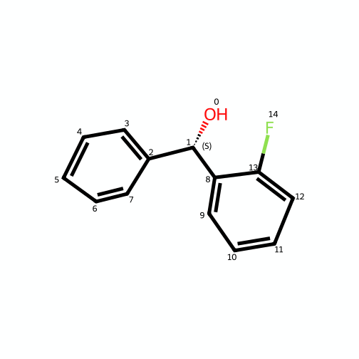 O[C@@H](c1ccccc1)c1ccccc1F